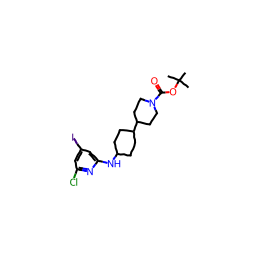 CC(C)(C)OC(=O)N1CCC(C2CCC(Nc3cc(I)cc(Cl)n3)CC2)CC1